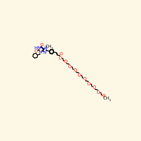 COCCOCCOCCOCCOCCOCCOCCOCCOCCOC(=O)/C=C/c1ccc(-c2nc3c(c(=O)[nH]c(=O)n3CC3CCCCC3)n2C)cc1